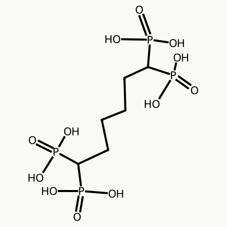 O=P(O)(O)C(CCCCC(P(=O)(O)O)P(=O)(O)O)P(=O)(O)O